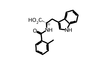 Cc1ccccc1C(=O)N[C@@H](Cc1c[nH]c2ccccc12)C(=O)O